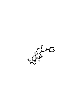 C[C@]12CC[C@@H]3[C@@H](CCC4=C(CSc5ccccc5)C(=O)CC[C@@]43CO)[C@@H]1CCC2=O